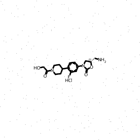 Cl.NC[C@H]1CN(c2ccc(C3CCN(C(=O)CO)CC3)c(F)c2)C(=O)O1